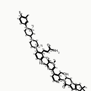 Cc1cc(N2CCC(N3CCN(c4ccc(Nc5nc(-c6ccnc(N7CCn8c(cc9c8CC(C)(C)C9)C7=O)c6CO)cn(C)c5=O)cc4C=CC(N)=O)[C@@H](C)C3)C[C@H]2C)ccc1F